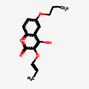 CC=COc1c(O)c2cc(OCCC(=O)O)ccc2oc1=O